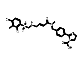 Cc1c(Cl)ccc(S(=O)(=O)CNCC=CC(=O)N(C)Cc2ccc(C3=NCCN3C(=O)O)cc2)c1Cl